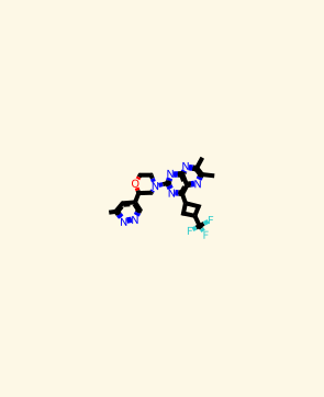 Cc1cc(C2CN(c3nc(C4CC(C(F)(F)F)C4)c4nc(C)c(C)nc4n3)CCO2)cnn1